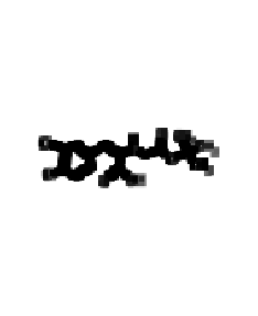 CC(C)(C)OC(=O)CN/C(=C/c1ccc(Cl)c(Cl)c1)C(=O)O